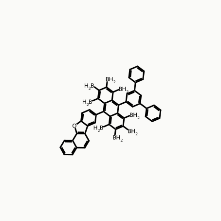 Bc1c(B)c(B)c2c(-c3ccc4oc5c6ccccc6ccc5c4c3)c3c(B)c(B)c(B)c(B)c3c(-c3cc(-c4ccccc4)cc(-c4ccccc4)c3)c2c1B